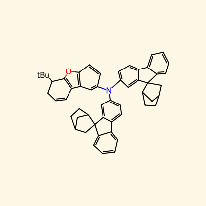 CC(C)(C)C1CC=Cc2c1oc1ccc(N(c3ccc4c(c3)C3(CC5CCC3C5)c3ccccc3-4)c3ccc4c(c3)C3(CC5CCC3C5)c3ccccc3-4)cc21